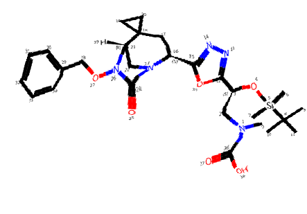 CN(C[C@H](O[Si](C)(C)C(C)(C)C)c1nnc([C@@H]2CC3(CC3)[C@@H]3CN2C(=O)N3OCc2ccccc2)o1)C(=O)O